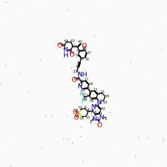 Cn1c(=O)n(C)c2c(C3CCS(=O)(=O)CC3)nc(N3CCCc4cc(-c5ccc(C(=O)NCC#Cc6ccc7occ(C8CCC(=O)NC8=O)c7c6)nc5)c(C(F)F)cc43)cc21